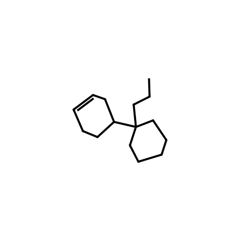 CCCC1(C2CC=CCC2)CCCCC1